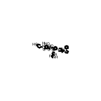 CC(C)(C)c1ccccc1[C@H]1CCCN1C1CC2(CCN(c3ccc(C(=O)NS(=O)(=O)c4cc5c(c([N+](=O)[O-])c4)N[C@@H]([C@H]4CC[C@](C)(O)CC4)CO5)c(Oc4cnc5[nH]cc(F)c5c4)c3)CC2)C1